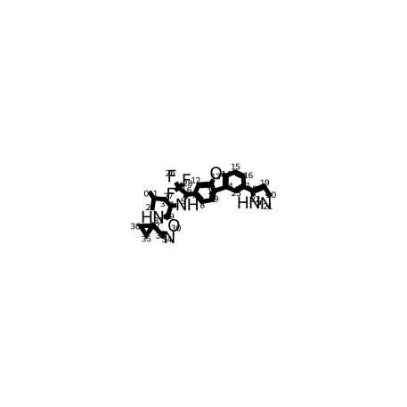 CC(C)CC(NC(c1ccc2c(c1)oc1ccc(-c3ccn[nH]3)cc12)C(F)(F)F)C(=O)NC1(C#N)CC1